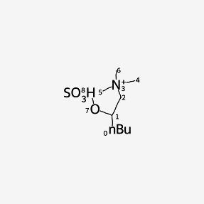 CCCCC(C[N+](C)(C)C)OS(=O)(=O)O